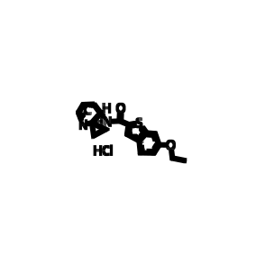 CCOc1ccc2cc(C(=O)N[C@@H]3C4CCN(CC4)C34CC4)sc2c1.Cl